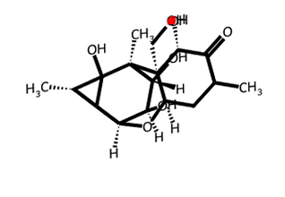 CC1C[C@H]2O[C@H]3C4[C@H](C)C4(O)[C@](C)([C@H](O)[C@H]3O)[C@@]2(CO)[C@H](O)C1=O